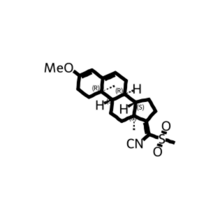 [C-]#[N+]C(=C1CC[C@H]2[C@@H]3CC=C4C=C(OC)CC[C@]4(C)[C@H]3CC[C@]12C)S(C)(=O)=O